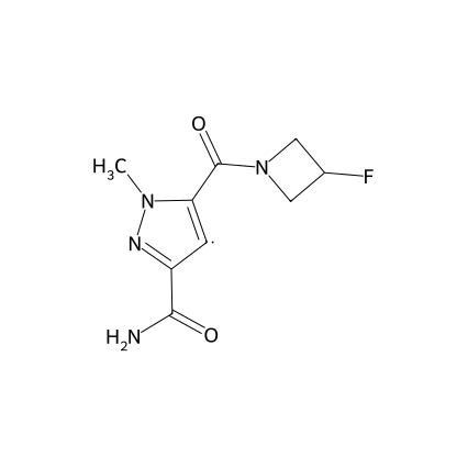 Cn1nc(C(N)=O)[c]c1C(=O)N1CC(F)C1